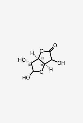 O=C1O[C@H]2[C@H](OC(O)[C@@H]2O)C1O